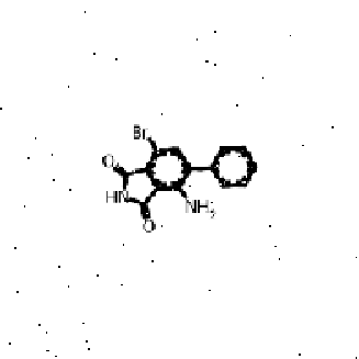 Nc1c(-c2ccccc2)cc(Br)c2c1C(=O)NC2=O